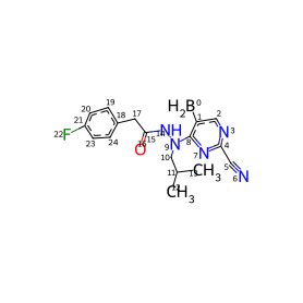 Bc1cnc(C#N)nc1N(CC(C)C)NC(=O)Cc1ccc(F)cc1